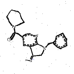 C/N=C1/CN(c2ccccc2)c2ncc(C(=O)N3CCCCC3)cc21